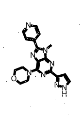 Cn1c(-c2ccncc2)nc2c(N3CCOCC3)nc(-c3cc[nH]n3)nc21